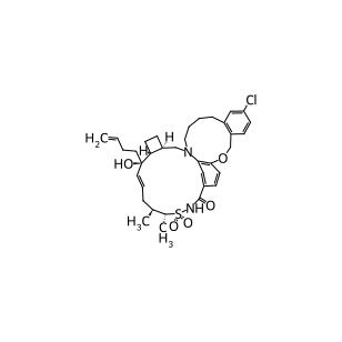 C=CCC[C@@]1(O)/C=C/C[C@H](C)[C@@H](C)S(=O)(=O)NC(=O)c2ccc3c(c2)N(CCCCc2cc(Cl)ccc2CO3)C[C@@H]2CC[C@H]21